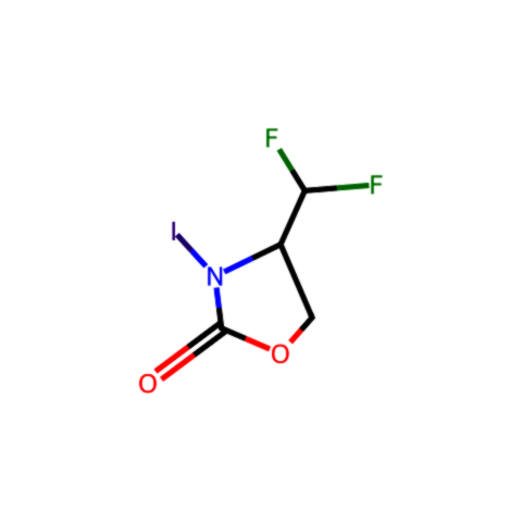 O=C1OCC(C(F)F)N1I